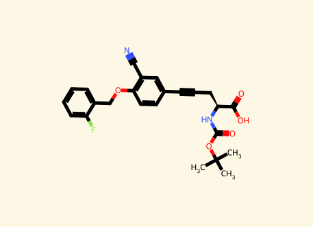 CC(C)(C)OC(=O)N[C@@H](CC#Cc1ccc(OCc2ccccc2F)c(C#N)c1)C(=O)O